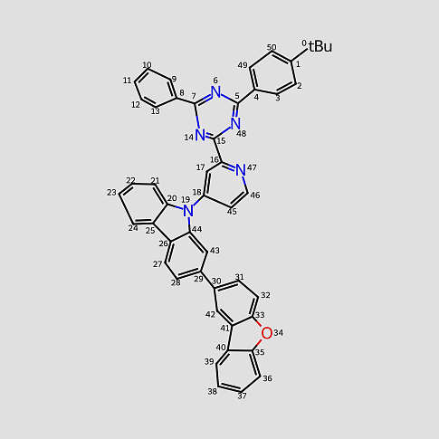 CC(C)(C)c1ccc(-c2nc(-c3ccccc3)nc(-c3cc(-n4c5ccccc5c5ccc(-c6ccc7oc8ccccc8c7c6)cc54)ccn3)n2)cc1